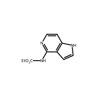 CCOC(=O)Nc1nccc2[nH]ccc12